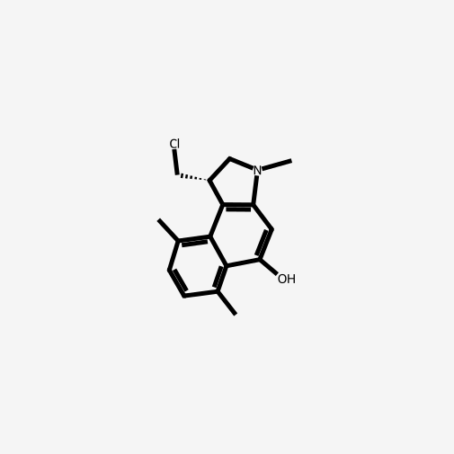 Cc1ccc(C)c2c3c(cc(O)c12)N(C)C[C@H]3CCl